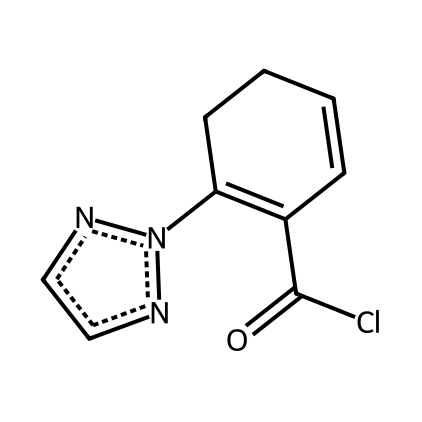 O=C(Cl)C1=C(n2nccn2)CCC=C1